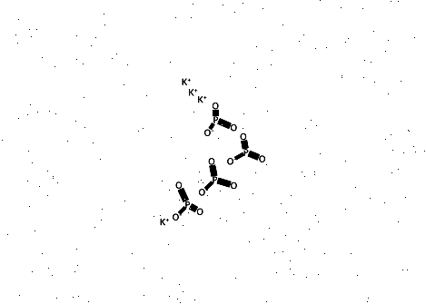 O=P(=O)[O-].O=P(=O)[O-].O=P(=O)[O-].O=P(=O)[O-].[K+].[K+].[K+].[K+]